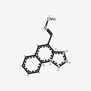 CO/N=C/c1cc2ccccc2n2nnnc12